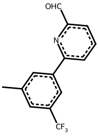 Cc1cc(-c2cccc(C=O)n2)cc(C(F)(F)F)c1